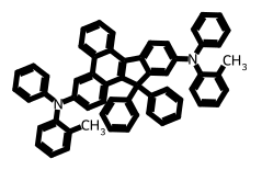 Cc1ccccc1N(c1ccccc1)c1ccc2c(c1)C(c1ccccc1)(c1ccccc1)c1c-2c2ccccc2c2cc(N(c3ccccc3)c3ccccc3C)ccc12